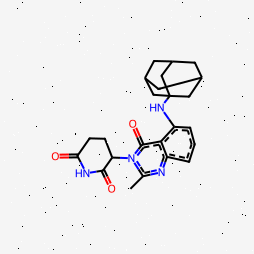 Cc1nc2cccc(NC34CC5CC(CC(C5)C3)C4)c2c(=O)n1C1CCC(=O)NC1=O